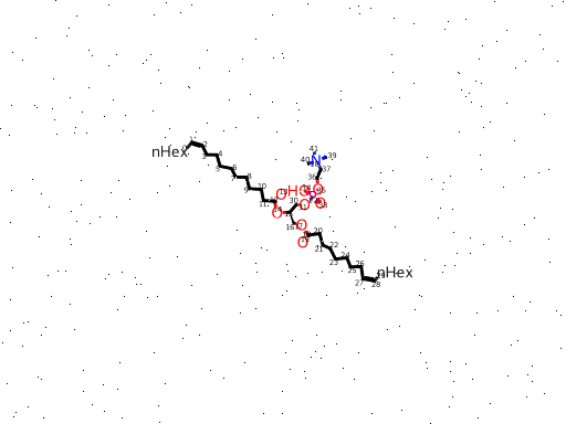 CCCCCC/C=C\CCCCCCCCCC(=O)O[C@H](COC(=O)CCCCCCC/C=C\CCCCCC)COP(=O)(O)OCC[N+](C)(C)C